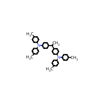 C=C(c1ccc(N(c2ccc(C)cc2)c2ccc(C)cc2)cc1)c1ccc(N(c2ccc(C)cc2)c2ccc(C)cc2)cc1